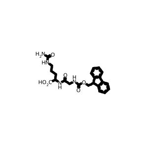 NC(=O)NCCCC(NC(=O)CNC(=O)OCC1c2ccccc2-c2ccccc21)C(=O)O